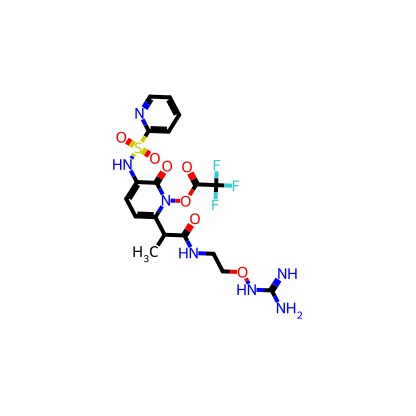 CC(C(=O)NCCONC(=N)N)c1ccc(NS(=O)(=O)c2ccccn2)c(=O)n1OC(=O)C(F)(F)F